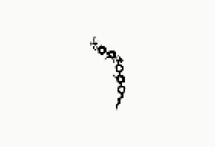 CCCCCC1CCC(c2ccc(C3CCC(C(F)(F)Oc4ccc(-c5ccc(OC(F)(F)F)cc5)c(F)c4)CC3)c(F)c2)CC1